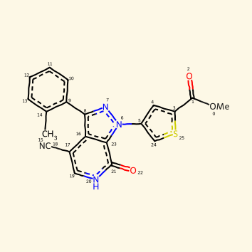 COC(=O)c1cc(-n2nc(-c3ccccc3C)c3c(C#N)c[nH]c(=O)c32)cs1